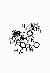 CC(=O)[O-].CC(=O)[O-].Cc1cc([Si](C)(C)C)cc(C=NC2CCCCC2N=Cc2cc([Si](C)(C)C)cc(C)c2O)c1O.[Co+2]